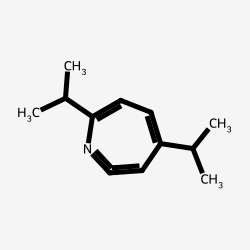 CC(C)C1=CC=C(C(C)C)N=C=C1